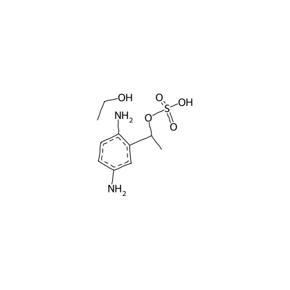 CC(OS(=O)(=O)O)c1cc(N)ccc1N.CCO